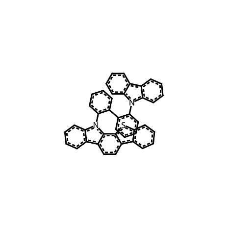 c1ccc(-n2c3ccccc3c3ccccc32)c(-c2ccccc2-n2c3ccccc3c3ccc4c5ccccc5sc4c32)c1